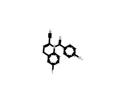 N#CC1=CCc2cc(F)ccc2N1C(=O)c1ccc(Cl)cc1